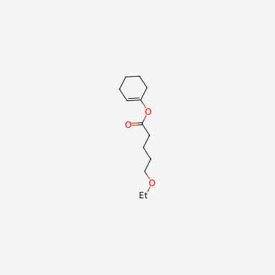 CCOCCCCC(=O)OC1=CCCCC1